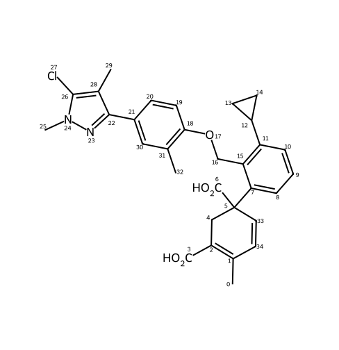 CC1=C(C(=O)O)CC(C(=O)O)(c2cccc(C3CC3)c2COc2ccc(-c3nn(C)c(Cl)c3C)cc2C)C=C1